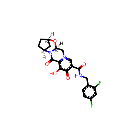 O=C(NCc1ccc(F)cc1F)c1cn2c(c(O)c1=O)C(=O)N1[C@H]3CC[C@H](C3)O[C@H]1C2